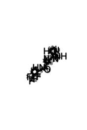 O=C(NCc1cccc(C(F)(F)F)c1F)c1c[nH]c(-c2n[nH]c3ncccc23)c1